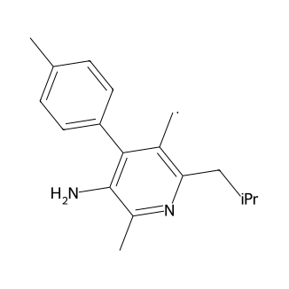 [CH2]c1c(CC(C)C)nc(C)c(N)c1-c1ccc(C)cc1